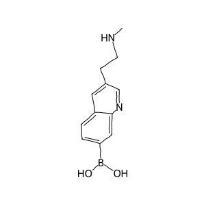 CNCCc1cnc2cc(B(O)O)ccc2c1